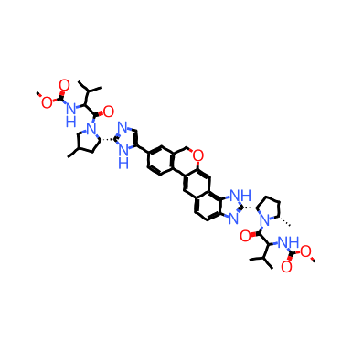 COC(=O)NC(C(=O)N1CC(C)C[C@H]1c1ncc(-c2ccc3c(c2)COc2cc4c(ccc5nc([C@@H]6CC[C@H](C)N6C(=O)C(NC(=O)OC)C(C)C)[nH]c54)cc2-3)[nH]1)C(C)C